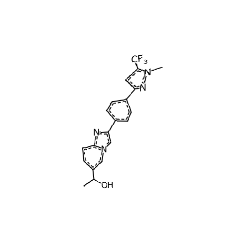 CC(O)c1ccc2nc(-c3ccc(-c4cc(C(F)(F)F)n(C)n4)cc3)cn2c1